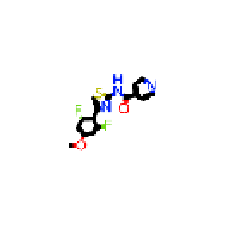 COC1=CC(F)C(c2csc(NC(=O)c3ccncc3)n2)C(F)=C1